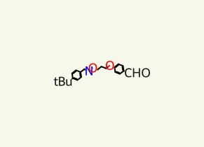 CC(C)(C)c1ccc(C=NOCCCOc2ccc(C=O)cc2)cc1